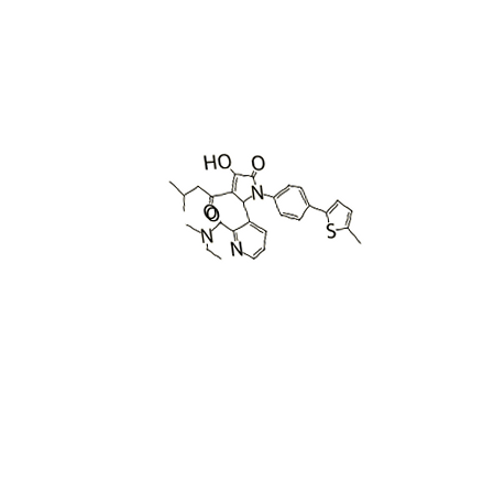 CCN(C)C(=O)c1ncccc1C1C(C(=O)CC(C)C)=C(O)C(=O)N1c1ccc(-c2ccc(C)s2)cc1